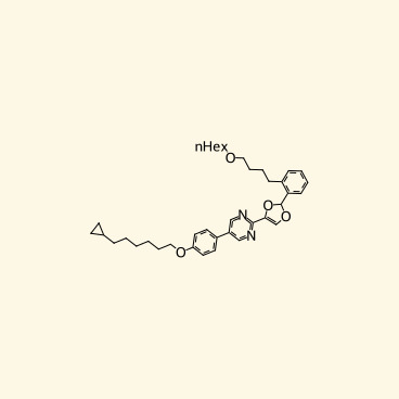 CCCCCCOCCCCc1ccccc1C1OC=C(c2ncc(-c3ccc(OCCCCCCC4CC4)cc3)cn2)O1